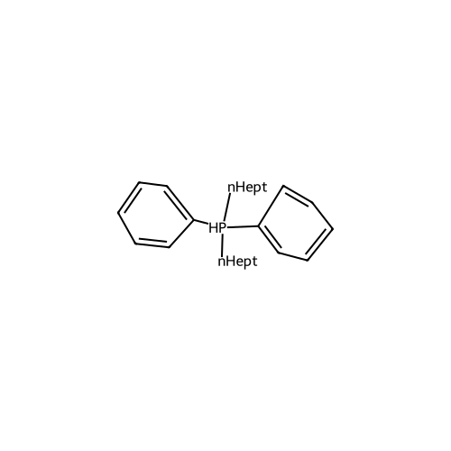 CCCCCCC[PH](CCCCCCC)(c1ccccc1)c1ccccc1